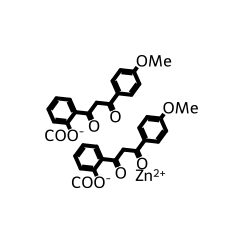 COc1ccc(C(=O)CC(=O)c2ccccc2C(=O)[O-])cc1.COc1ccc(C(=O)CC(=O)c2ccccc2C(=O)[O-])cc1.[Zn+2]